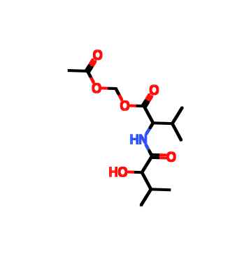 CC(=O)OCOC(=O)C(NC(=O)C(O)C(C)C)C(C)C